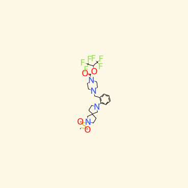 CS(=O)(=O)N1CCC2(CCN(c3ccccc3CN3CCN(C(=O)OC(C(F)(F)F)C(F)(F)F)CC3)C2)C1